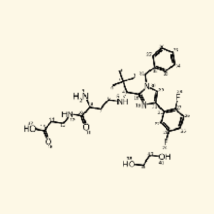 CC(C)(C)[C@@H](NCC[C@H](N)C(=O)NCCC(=O)O)c1nc(-c2cc(F)ccc2F)cn1Cc1ccccc1.OCCO